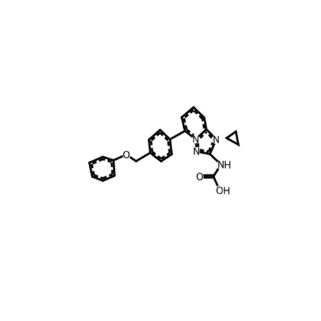 C1CC1.O=C(O)Nc1nc2cccc(-c3ccc(COc4ccccc4)cc3)n2n1